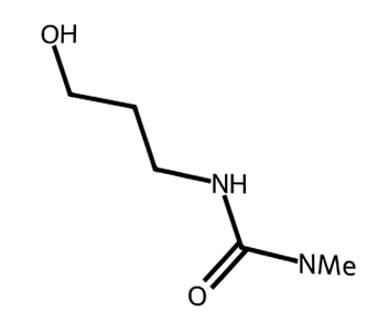 CNC(=O)NCCCO